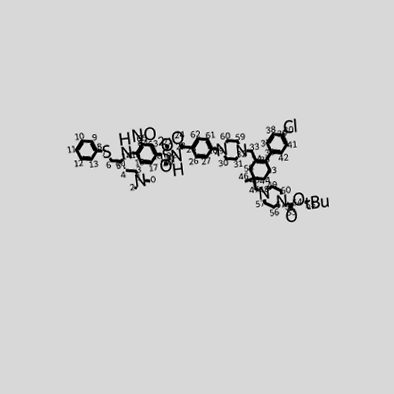 CN(C)CC[C@H](CSc1ccccc1)Nc1ccc(S(=O)(=O)NC(=O)c2ccc(N3CCN(CC4=C(c5ccc(Cl)cc5)CCC(C)(CN5CCN(C(=O)OC(C)(C)C)CC5)C4)CC3)cc2)cc1[N+](=O)[O-]